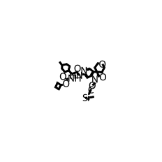 CC1CCC(C(NC(=O)OC2CCC2)C(=O)Nc2cc3c(cn2)C2(CCOCC2)C(=O)N3COCC[Si](C)(C)C)CC1